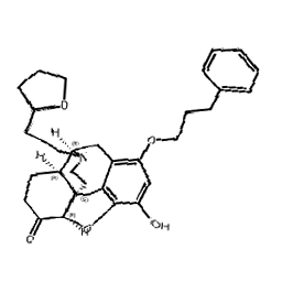 O=C1CC[C@H]2[C@H]3Cc4c(OCCCc5ccccc5)cc(O)c5c4[C@@]2(CCN3CC2CCCO2)[C@H]1O5